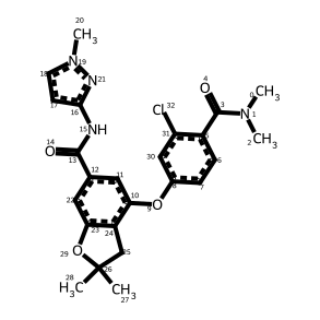 CN(C)C(=O)c1ccc(Oc2cc(C(=O)Nc3ccn(C)n3)cc3c2CC(C)(C)O3)cc1Cl